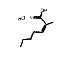 CCCCC=C(C)C(=O)O.Cl